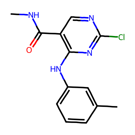 CNC(=O)c1cnc(Cl)nc1Nc1cccc(C)c1